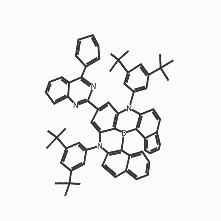 CC(C)(C)c1cc(N2c3cc(-c4nc(-c5ccccc5)c5ccccc5n4)cc4c3B(c3c2ccc2ccccc32)c2c(ccc3ccccc23)N4c2cc(C(C)(C)C)cc(C(C)(C)C)c2)cc(C(C)(C)C)c1